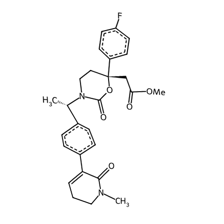 COC(=O)C[C@]1(c2ccc(F)cc2)CCN([C@@H](C)c2ccc(C3=CCCN(C)C3=O)cc2)C(=O)O1